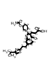 CC(C)c1csc(CCc2ccn3c(=O)c(C=CC(=O)O)c(N4CCC[C@@H](OC(N)=O)C4)nc3c2)n1